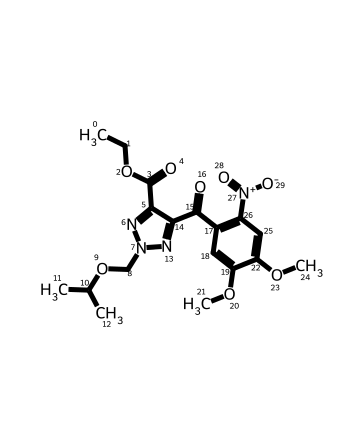 CCOC(=O)c1nn(COC(C)C)nc1C(=O)c1cc(OC)c(OC)cc1[N+](=O)[O-]